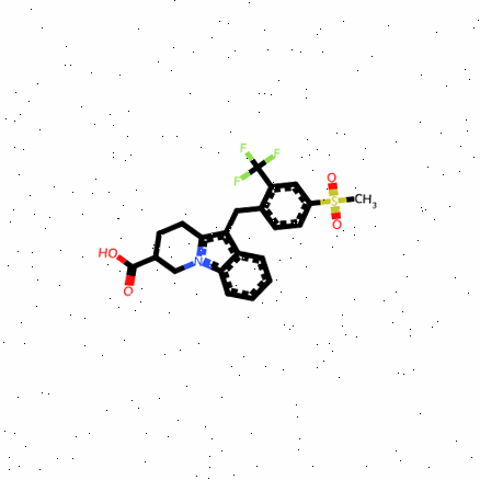 CS(=O)(=O)c1ccc(Cc2c3n(c4ccccc24)CC(C(=O)O)CC3)c(C(F)(F)F)c1